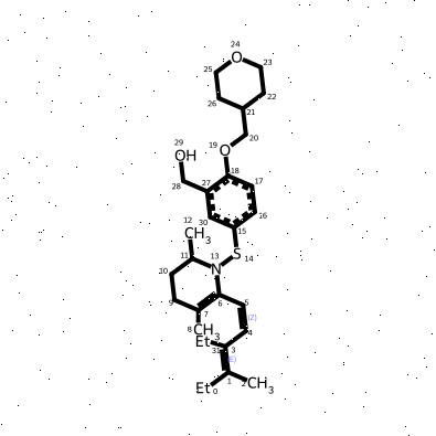 CC/C(C)=C(/C=C\C1=C(C)CCC(C)N1Sc1ccc(OCC2CCOCC2)c(CO)c1)CC